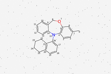 Cc1ccc2c(c1)OCc1ccccc1N2c1cccc2c1CCCC2